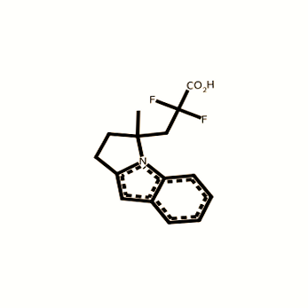 CC1(CC(F)(F)C(=O)O)CCc2cc3ccccc3n21